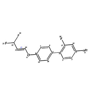 CCCc1ccc(-c2ccc(O/C=C/C(F)F)cc2)c(F)c1